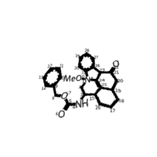 CO[N+]12CC(NC(=O)OCc3ccccc3)C3CCCC4CC(=O)C(C1=C43)c1ccccc12